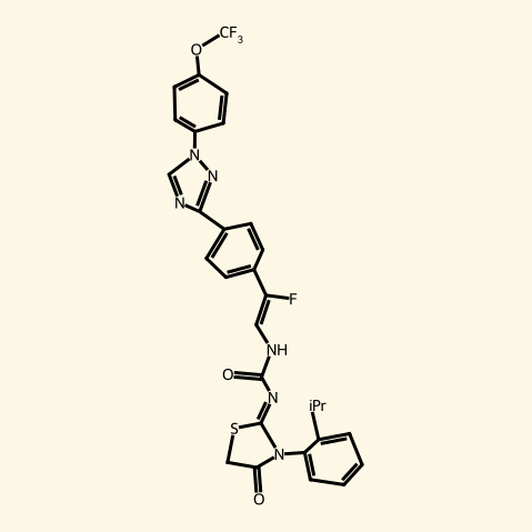 CC(C)c1ccccc1N1C(=O)CS/C1=N\C(=O)N/C=C(\F)c1ccc(-c2ncn(-c3ccc(OC(F)(F)F)cc3)n2)cc1